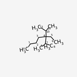 CCCCC(CC)(C(C)C)C(C)C